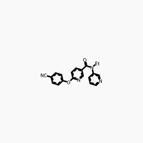 CCN(C(=O)c1ccc(Oc2ccc(C#N)cc2)nc1)c1cccnc1